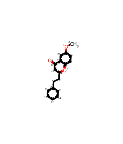 COc1ccc2oc(CCc3ccccc3)cc(=O)c2c1